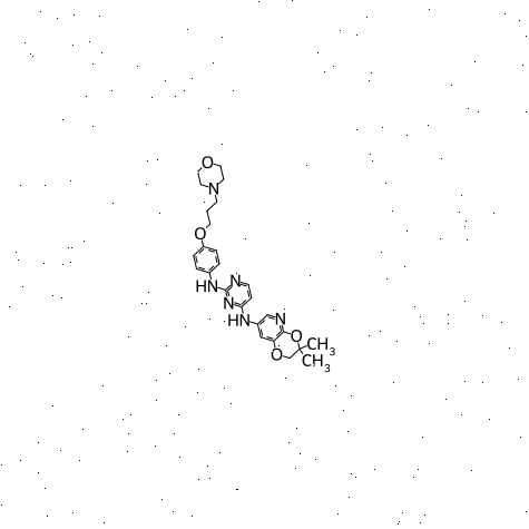 CC1(C)COc2cc(Nc3ccnc(Nc4ccc(OCCCN5CCOCC5)cc4)n3)cnc2O1